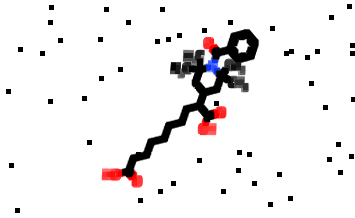 CC1(C)CC(C(CCCCCCCC(=O)O)C(=O)O)CC(C)(C)N1C(=O)c1ccccc1